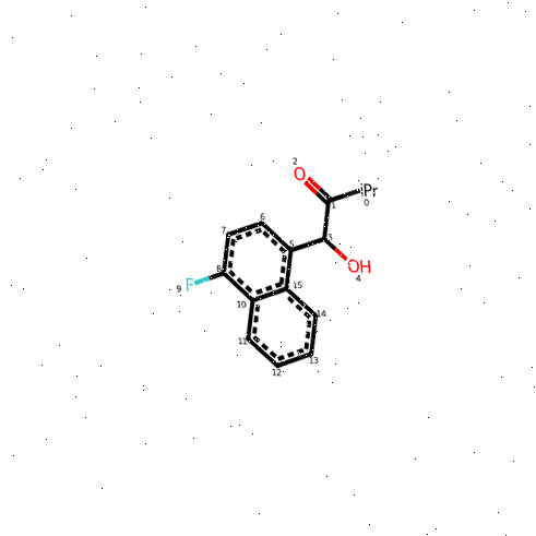 CC(C)C(=O)C(O)c1ccc(F)c2ccccc12